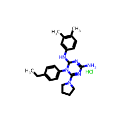 CCc1ccc(N2C(N3CCCC3)=NC(N)=NC2Nc2ccc(C)c(C)c2)cc1.Cl